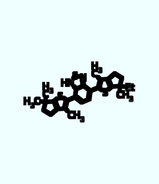 CCC1(C)CCc2c1sc(C1=CC=C(c3sc4c(c3C)CCC4(C)C)C3NSN=C13)c2C